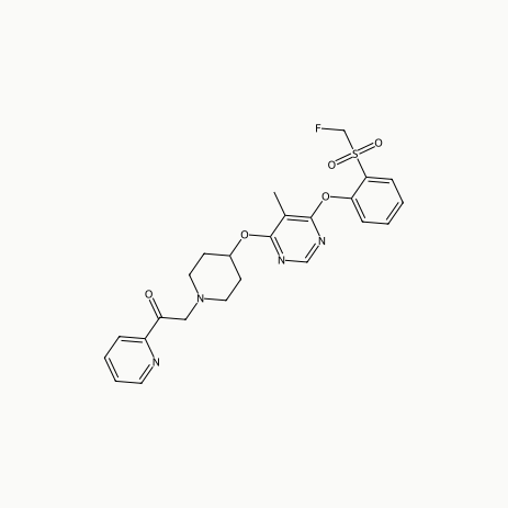 Cc1c(Oc2ccccc2S(=O)(=O)CF)ncnc1OC1CCN(CC(=O)c2ccccn2)CC1